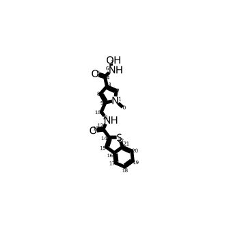 Cn1cc(C(=O)NO)cc1CNC(=O)c1cc2ccccc2s1